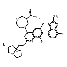 NC(=O)C1COCCN(c2nc(OC[C@@]34CCCN3C[C@H](F)C4)nc3c(F)c(-c4ccc(F)c5sc(N)nc45)c(Cl)cc23)C1